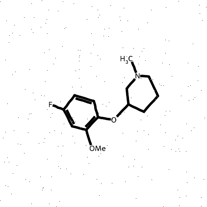 COc1cc(F)ccc1OC1CCCN(C)C1